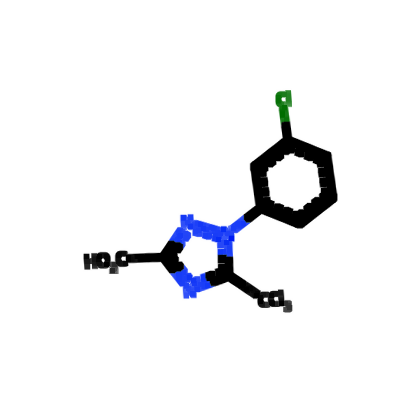 O=C(O)c1nc(C(Cl)(Cl)Cl)n(-c2cccc(Cl)c2)n1